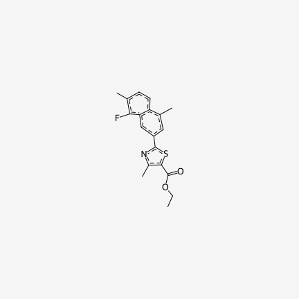 CCOC(=O)c1sc(-c2cc(C)c3ccc(C)c(F)c3c2)nc1C